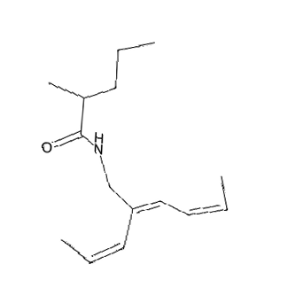 C\C=C/C=C(\C=C/C)CNC(=O)C(C)CCC